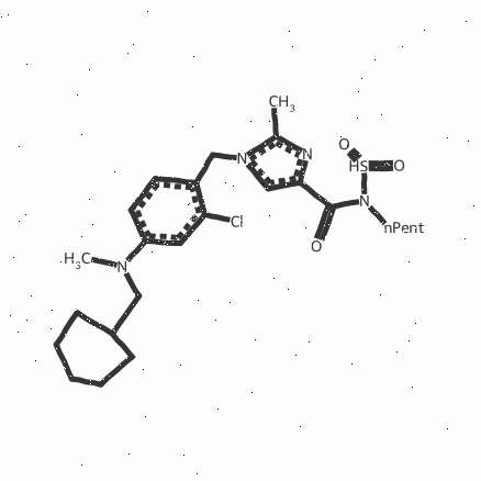 CCCCCN(C(=O)c1cn(Cc2ccc(N(C)CC3CCCCC3)cc2Cl)c(C)n1)[SH](=O)=O